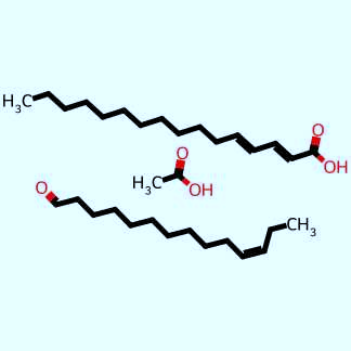 CC(=O)O.CC/C=C\CCCCCCCCCC=O.CCCCCCCCCCCC=CC=CC(=O)O